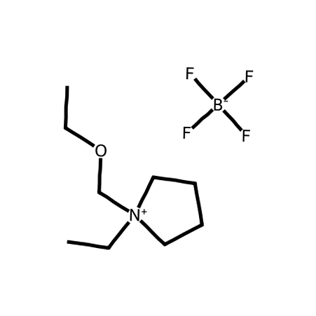 CCOC[N+]1(CC)CCCC1.F[B-](F)(F)F